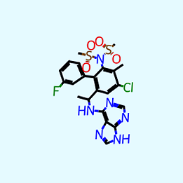 Cc1c(Cl)cc(C(C)Nc2ncnc3[nH]cnc23)c(-c2cccc(F)c2)c1N(S(C)(=O)=O)S(C)(=O)=O